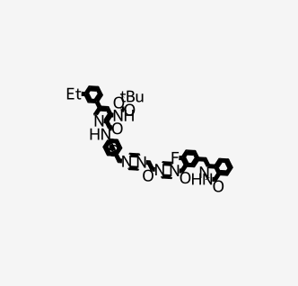 CCc1cccc(-c2cnc(C(=O)NC34CCC(CN5CCN(CC(=O)N6CCN(C(=O)c7cc(Cc8n[nH]c(=O)c9ccccc89)ccc7F)CC6)CC5)(CC3)OC4)c(NC(=O)OC(C)(C)C)c2)c1